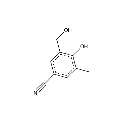 Cc1cc(C#N)cc(CO)c1O